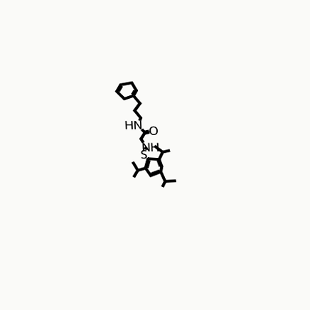 CC(C)c1cc(C(C)C)c(SNCC(=O)NCCCC2=CCC=CC2)c(C(C)C)c1